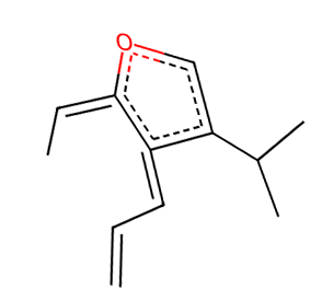 C=C/C=c1/c(C(C)C)co/c1=C/C